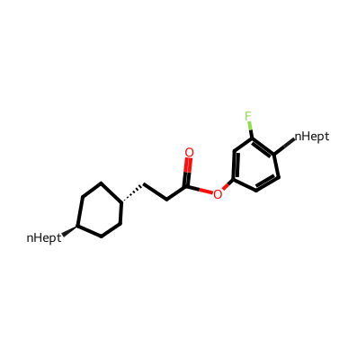 CCCCCCCc1ccc(OC(=O)CC[C@H]2CC[C@H](CCCCCCC)CC2)cc1F